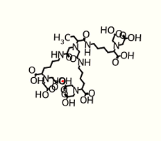 CCC(C(=O)NCCCCC(C(=O)O)N(CC(=O)O)CC(=O)O)N(CC(=O)NCCCCC(C(=O)O)N(CC(=O)O)CC(=O)O)CC(=O)NCCCCC(C(=O)O)N(CC(=O)O)CC(=O)O